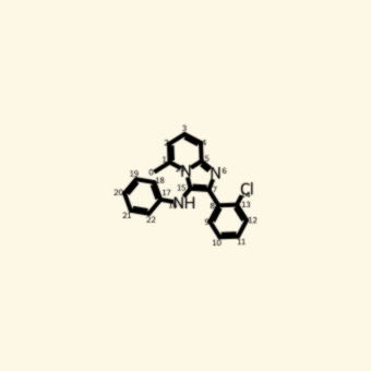 Cc1cccc2nc(-c3ccccc3Cl)c(Nc3ccccc3)n12